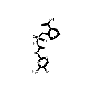 Cc1nc(NC(=O)NS(=O)(=O)Cc2ccccc2C(=O)O)ncc1Br